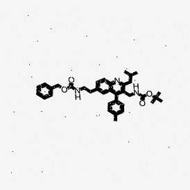 Cc1ccc(-c2c(CNC(=O)OC(C)(C)C)c(CC(C)C)nc3ccc(CCNC(=O)OCc4ccccc4)cc23)cc1